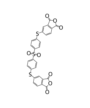 O=C1OC(=O)c2cc(Sc3ccc(S(=O)(=O)c4ccc(Sc5ccc6c(c5)C(=O)OC6=O)cc4)cc3)ccc21